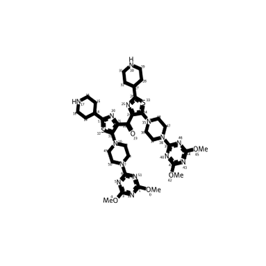 COc1nc(OC)nc(N2CCN(c3sc(C4CCNCC4)nc3C(=O)c3nc(C4CCNCC4)sc3N3CCN(c4nc(OC)nc(OC)n4)CC3)CC2)n1